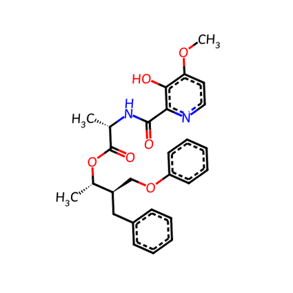 COc1ccnc(C(=O)N[C@@H](C)C(=O)O[C@@H](C)[C@@H](COc2ccccc2)Cc2ccccc2)c1O